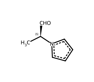 C[C@@H](C=O)n1cccc1